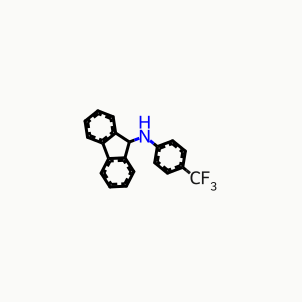 FC(F)(F)c1ccc(NC2c3ccccc3-c3ccccc32)cc1